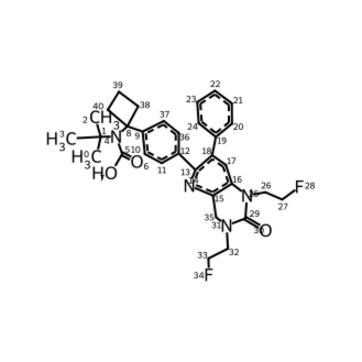 CC(C)(C)N(C(=O)O)C1(c2ccc(-c3nc4c(cc3-c3ccccc3)N(CCF)C(=O)N(CCF)C4)cc2)CCC1